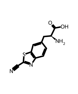 N#Cc1nc2ccc(C[C@H](N)C(=O)O)cc2s1